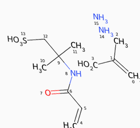 C=C(C)C(=O)O.C=CC(=O)NC(C)(C)CS(=O)(=O)O.N.N